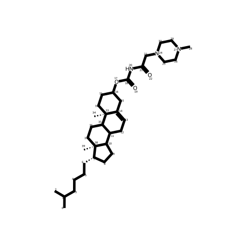 CC(C)CCCC[C@H]1CCC2C3CC=C4CC(OC(=O)NC(=O)CN5CCN(C)CC5)CC[C@]4(C)C3CC[C@@]21C